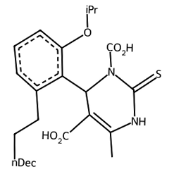 CCCCCCCCCCCCc1cccc(OC(C)C)c1C1C(C(=O)O)=C(C)NC(=S)N1C(=O)O